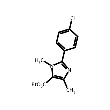 CCOC(=O)c1c(C)nc(-c2ccc(Cl)cc2)n1C